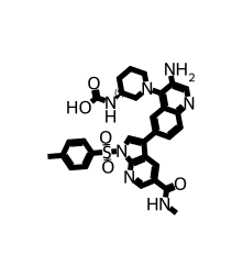 CNC(=O)c1cnc2c(c1)c(-c1ccc3ncc(N)c(N4CCC[C@H](NC(=O)O)C4)c3c1)cn2S(=O)(=O)c1ccc(C)cc1